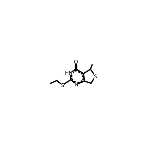 CCSc1nc2c(c(=O)[nH]1)C(C)SC2